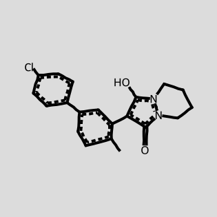 Cc1ccc(-c2ccc(Cl)cc2)cc1-c1c(O)n2n(c1=O)CCCC2